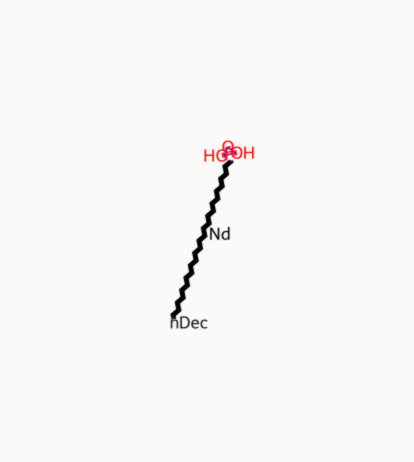 CCCCCCCCCCCCCCCCCCCCCCCCCCCCCCCCCCCCP(=O)(O)O.[Nd]